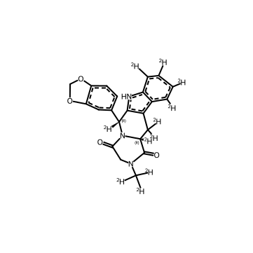 [2H]c1c([2H])c([2H])c2c3c([nH]c2c1[2H])[C@@]([2H])(c1ccc2c(c1)OCO2)N1C(=O)CN(C([2H])([2H])[2H])C(=O)[C@@]1([2H])C3([2H])[2H]